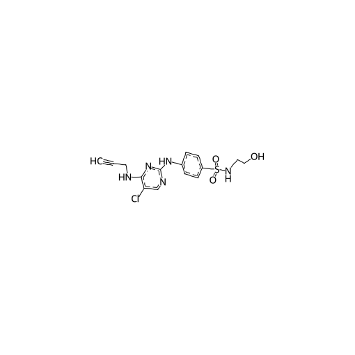 C#CCNc1nc(Nc2ccc(S(=O)(=O)NCCO)cc2)ncc1Cl